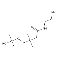 CC(C)(COC(C)(C)O)CC(=O)NCCN